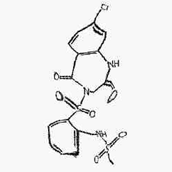 CS(=O)(=O)Nc1ccccc1S(=O)(=O)n1c(=O)[nH]c2cc(Cl)ccc2c1=O